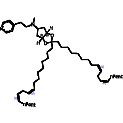 CCCCC/C=C\C/C=C\CCCCCCCCC1(CCCCCCCC/C=C\C/C=C\CCCCC)O[C@H]2CC(N(C)CCc3ccncc3)C[C@H]2O1